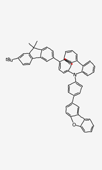 CC(C)(C)c1ccc2c(c1)C(C)(C)c1ccc(-c3ccc(N(c4ccc(-c5ccc6oc7ccccc7c6c5)cc4)c4ccccc4-c4ccccc4)cc3)cc1-2